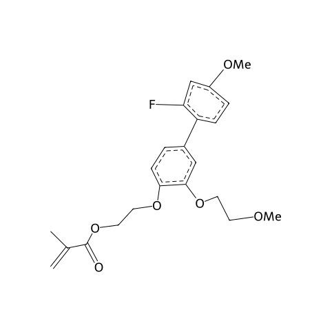 C=C(C)C(=O)OCCOc1ccc(-c2ccc(OC)cc2F)cc1OCCOC